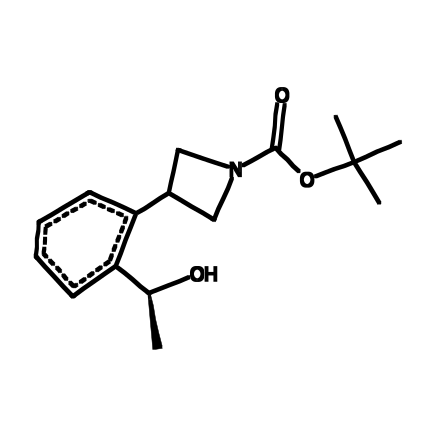 C[C@H](O)c1ccccc1C1CN(C(=O)OC(C)(C)C)C1